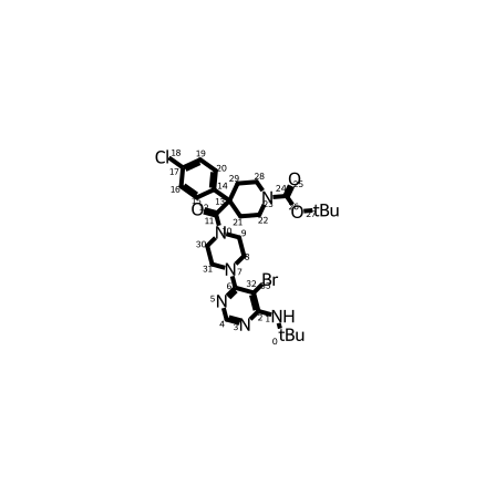 CC(C)(C)Nc1ncnc(N2CCN(C(=O)C3(c4ccc(Cl)cc4)CCN(C(=O)OC(C)(C)C)CC3)CC2)c1Br